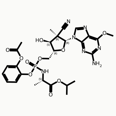 COc1nc(N)nc2c1ncn2[C@@H]1O[C@H](COP(=O)(N[C@@H](C)C(=O)OC(C)C)Oc2ccccc2OC(C)=O)[C@@H](O)[C@@]1(C)C#N